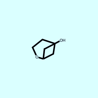 OC12CCOC(C1)C2